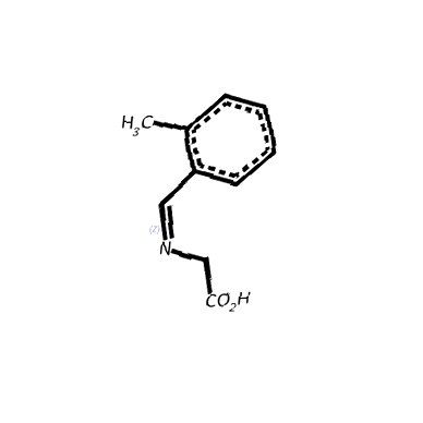 Cc1ccccc1/C=N\CC(=O)O